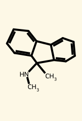 CNC1(C)c2ccccc2-c2ccccc21